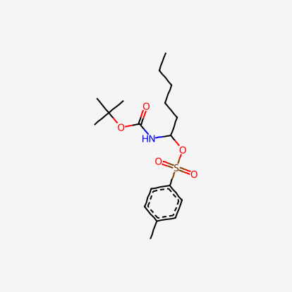 CCCCCC(NC(=O)OC(C)(C)C)OS(=O)(=O)c1ccc(C)cc1